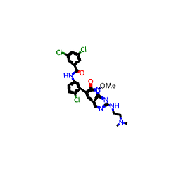 COn1c(=O)c(-c2cc(NC(=O)c3cc(Cl)cc(Cl)c3)ccc2Cl)cc2cnc(NCCN(C)C)nc21